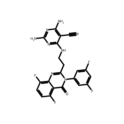 N#Cc1c(N)nc(N)nc1NCCc1nc2c(F)ccc(F)c2c(=O)n1-c1cc(F)cc(F)c1